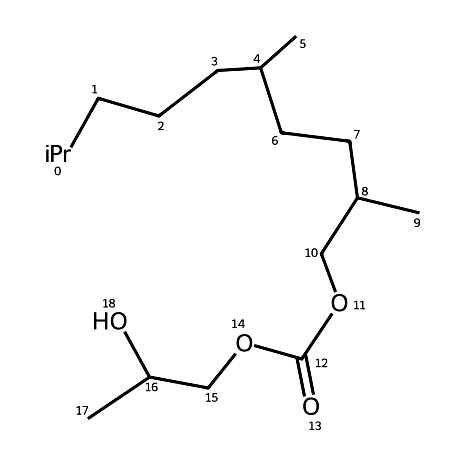 CC(C)CCCC(C)CCC(C)COC(=O)OCC(C)O